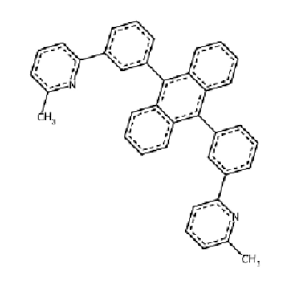 Cc1cccc(-c2cccc(-c3c4ccccc4c(-c4cccc(-c5cccc(C)n5)c4)c4ccccc34)c2)n1